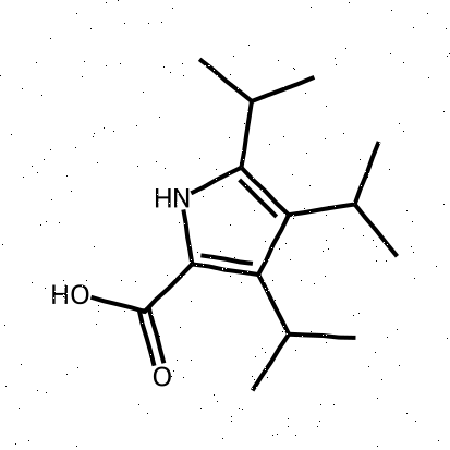 CC(C)c1[nH]c(C(=O)O)c(C(C)C)c1C(C)C